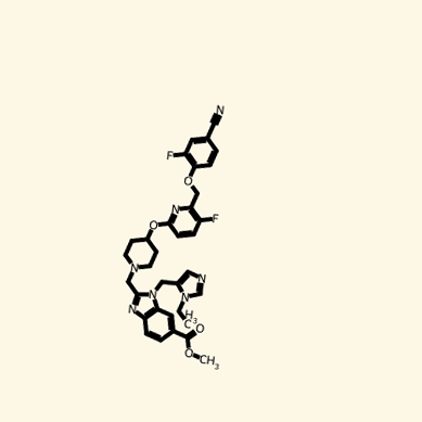 CCn1cncc1Cn1c(CN2CCC(Oc3ccc(F)c(COc4ccc(C#N)cc4F)n3)CC2)nc2ccc(C(=O)OC)cc21